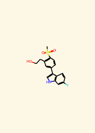 CS(=O)(=O)c1ccc(-c2c[nH]c3cc(F)ccc23)cc1CCO